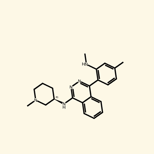 CNc1cc(C)ccc1-c1nnc(N[C@@H]2CCCN(C)C2)c2ccccc12